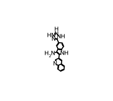 Nc1c(-c2cnc3ccccc3c2)[nH]c2ccc(C3=NNNN3)cc12